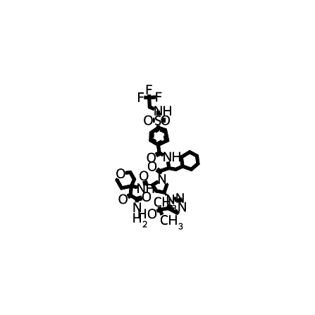 CC(C)(O)c1cnnn1[C@H]1C[C@@H](C(=O)NC2(C(=O)C(N)=O)CCOCC2)N(C(=O)C(CC2CCCCC2)NC(=O)c2ccc(S(=O)(=O)NCC(F)(F)F)cc2)C1